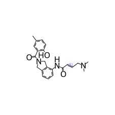 Cc1ccc(O)c(C(=O)N2Cc3cccc(NC(=O)/C=C/CN(C)C)c3C2)c1